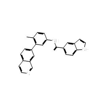 Cc1ccc(NC(=O)c2ccc3[nH]ccc3c2)cc1-c1ccc2ccncc2c1